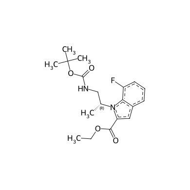 CCOC(=O)c1cc2cccc(F)c2n1[C@H](C)CNC(=O)OC(C)(C)C